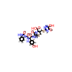 Cn1c(SCC2=C(C(=O)O)N3C(=O)C(NC(=O)C(NC(=O)n4c(=O)[nH]c5ccccc54)c4ccc(O)cc4)[C@@H]3SC2)nnc(O)c1=O